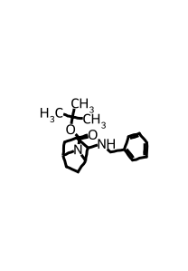 CC(C)(C)OC(=O)N1C2CCC(NCc3ccccc3)C1CC2